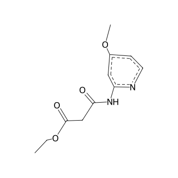 CCOC(=O)CC(=O)Nc1cc(OC)ccn1